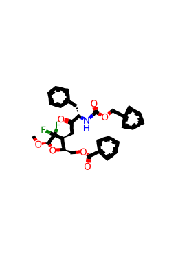 CO[C@@H]1O[C@H](COC(=O)c2ccccc2)[C@H](CC(=O)[C@H](Cc2ccccc2)NC(=O)OCc2ccccc2)C1(F)F